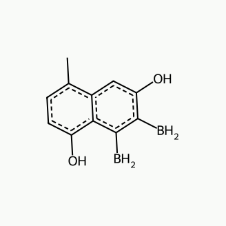 Bc1c(O)cc2c(C)ccc(O)c2c1B